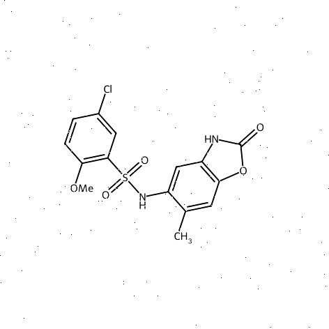 COc1ccc(Cl)cc1S(=O)(=O)Nc1cc2[nH]c(=O)oc2cc1C